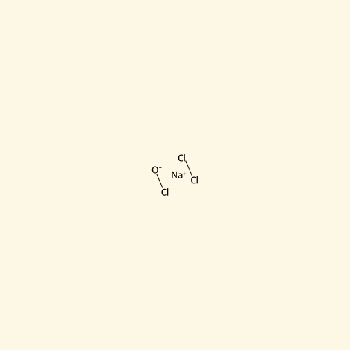 ClCl.[Na+].[O-]Cl